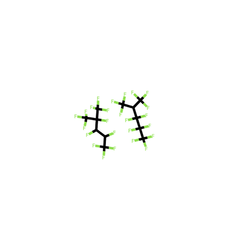 FC(C(F)C(F)(C(F)(F)F)C(F)(F)F)C(F)(F)F.FC(F)(F)C(C(F)(F)F)C(F)(F)C(F)(F)C(F)(F)F